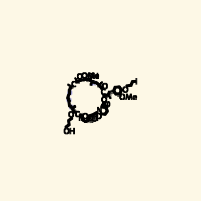 CO[C@@H]1C[C@H](C[C@@H](C)[C@@H]2CC(=O)[C@H](C)/C=C(\C)[C@@H](O)[C@@H](OC)C(=O)[C@H](C)C[C@H](C)/C=C/C=C/C=C(\C)[C@@H](OCCCCO)C[C@@H]3CC[C@@H](C)[C@@](O)(O3)C(=O)C(=O)N3CCCC[C@H]3C(=O)O2)CC[C@H]1OCCCI